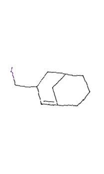 ICC1C=C2CCCC(C2)C1